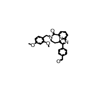 COc1ccc(CN2CCc3c(-c4ccc(C=O)cc4)nc4cccc(n34)C2=O)c(OC)c1